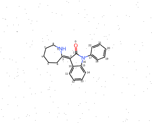 O=C1C(=C2CCCCCN2)c2ccccc2N1c1ccccc1